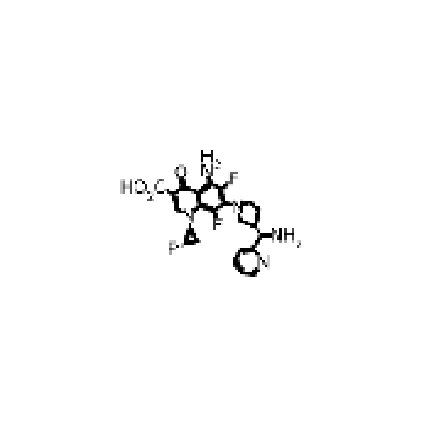 Nc1c(F)c(N2CC[C@@H](C(N)c3ccccn3)C2)c(F)c2c1c(=O)c(C(=O)O)cn2[C@@H]1C[C@@H]1F